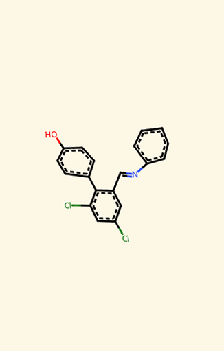 Oc1ccc(-c2c(Cl)cc(Cl)cc2C=Nc2ccccc2)cc1